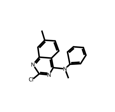 Cc1ccc2c(N(C)c3ccccc3)nc(Cl)nc2c1